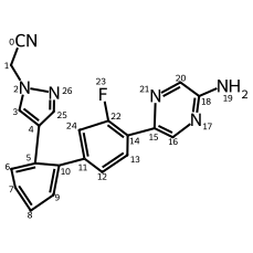 N#CCn1cc(-c2ccccc2-c2ccc(-c3cnc(N)cn3)c(F)c2)cn1